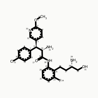 COc1ccc([C@H](c2ccc(Cl)cc2)[C@H](N)C(=O)Nc2cccc(F)c2CC[C@H](N)CO)cn1